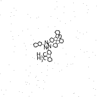 CC1(C)c2ccccc2-c2ccc(-c3nc(-c4ccc5c(c4)C4(c6ccccc6-c6ccccc64)c4oc6ccccc6c4-5)nc(-c4ccc5ccccc5c4)n3)cc21